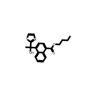 CCCCOC(=O)c1ccc(C(C)(O)c2nccs2)c2ccccc12